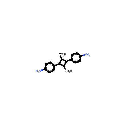 Nc1ccc(C2C(C(=O)O)C(c3ccc(N)cc3)C2C(=O)O)cc1